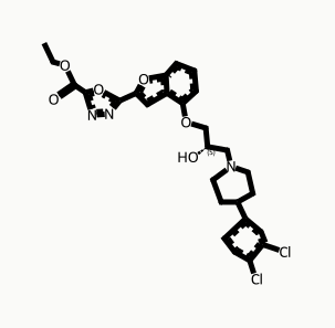 CCOC(=O)c1nnc(-c2cc3c(OC[C@@H](O)CN4CCC(c5ccc(Cl)c(Cl)c5)CC4)cccc3o2)o1